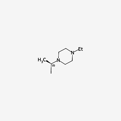 CCN1CCN([C@H](C)I)CC1